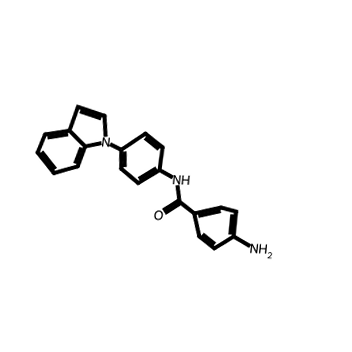 Nc1ccc(C(=O)Nc2ccc(-n3ccc4ccccc43)cc2)cc1